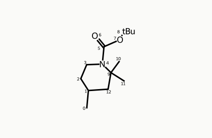 CC1CCN(C(=O)OC(C)(C)C)C(C)(C)C1